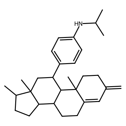 C=C1C=C2CCC3C(C(c4ccc(NC(C)C)cc4)CC4(C)C(C)CCC34)C2(C)CC1